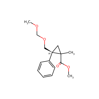 COCOC[C@@]1(c2ccccc2)CC1(C)C(=O)OC